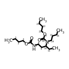 CCCCOC(=O)NCCC(CC)N(CCCC)C(=O)OCCCC